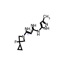 Cc1cc(NC(=N)/C=C(\N)N2CC(F)(C3CC3)C2)[nH]n1